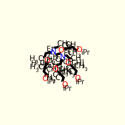 CCC(C)(CC(C)OC(C)(CC)C(C)(C)CCOC(C)C)N(CCN(CC(C)OC(C)(C)C(C)(C)CCOC(C)C)C(C)(C)CC(C)OC(C)(C)C(C)(C)CCOC(C)C)CC(C)OC(C)(CC)C(C)(C)CCOC(C)C